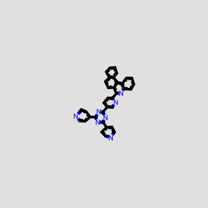 c1ccc2c(c1)ccc1c(-c3ccc(-c4nc(-c5ccncc5)nc(-c5ccncc5)n4)cn3)nc3ccccc3c12